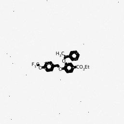 CCOC(=O)c1ccc(OCc2ccc(OC(F)(F)F)cc2)c(O[C@@H](C)c2ccccc2)c1